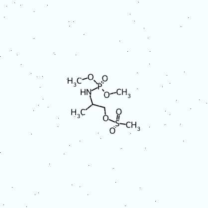 COP(=O)(NC(C)COS(C)(=O)=O)OC